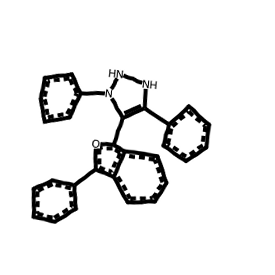 c1ccc(C2=C(c3oc(-c4ccccc4)c4ccccc34)N(c3ccccc3)NN2)cc1